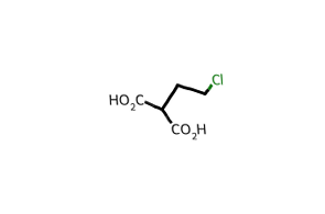 O=C(O)C(CCCl)C(=O)O